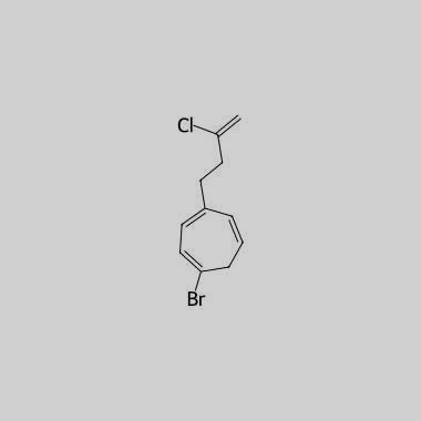 C=C(Cl)CCC1=CC=C(Br)CC=C1